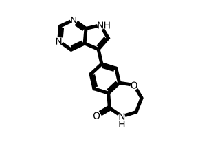 O=C1NCCOc2cc(-c3c[nH]c4ncncc34)ccc21